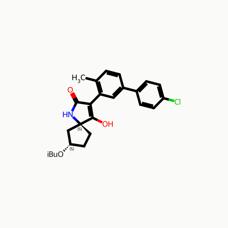 Cc1ccc(-c2ccc(Cl)cc2)cc1C1=C(O)[C@@]2(CC[C@H](OCC(C)C)C2)NC1=O